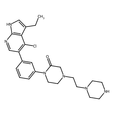 CCc1c[nH]c2ncc(-c3cccc(N4CCN(CCN5CCNCC5)CC4=O)c3)c(Cl)c12